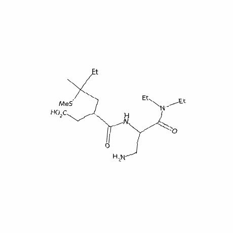 CCN(CC)C(=O)C(CN)NC(=O)C(CC(=O)O)CC(C)(CC)SC